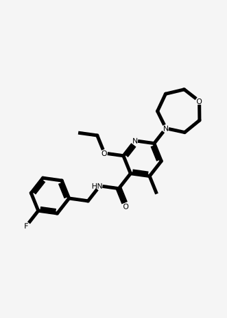 CCOc1nc(N2CCCOCC2)cc(C)c1C(=O)NCc1cccc(F)c1